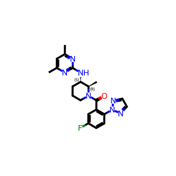 Cc1cc(C)nc(N[C@H]2CCCN(C(=O)c3cc(F)ccc3-n3nccn3)[C@@H]2C)n1